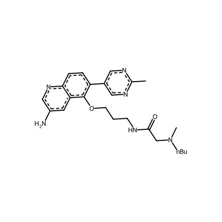 CCCCN(C)CC(=O)NCCCOc1c(-c2cnc(C)nc2)ccc2ncc(N)cc12